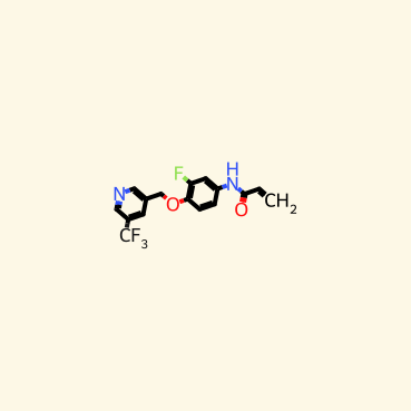 C=CC(=O)Nc1ccc(OCc2cncc(C(F)(F)F)c2)c(F)c1